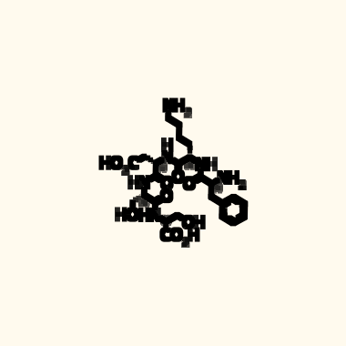 NCCCC[C@H](NC(=O)[C@@H](N)Cc1ccccc1)C(=O)N[C@@H](CC(=O)O)C(=O)N[C@@H](CO)C(=O)N[C@@H](CO)C(=O)O